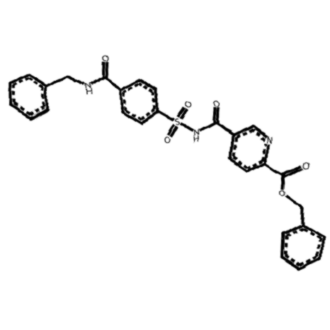 O=C(NCc1ccccc1)c1ccc(S(=O)(=O)NC(=O)c2ccc(C(=O)OCc3ccccc3)nc2)cc1